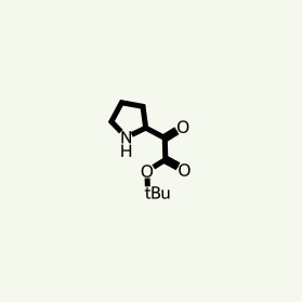 CC(C)(C)OC(=O)C(=O)C1CCCN1